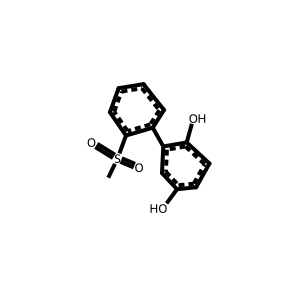 CS(=O)(=O)c1ccccc1-c1cc(O)ccc1O